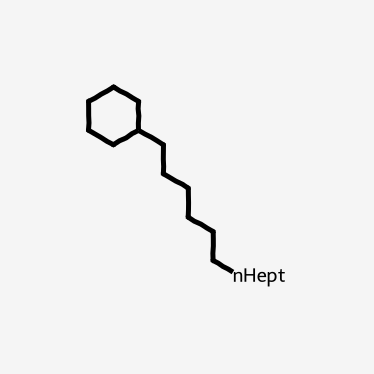 CCCCCCCCCCCCCC1CCCCC1